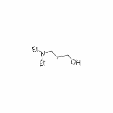 CCN(CC)C[CH]CO